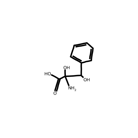 NC(O)(C(=O)O)C(O)c1ccccc1